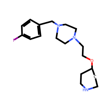 Ic1ccc(CN2CCN(CCOC3CCNCC3)CC2)cc1